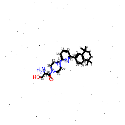 CC1(C)CCC(C)(C)c2cc(-c3cccc(N4CCN(C(=O)C(N)CO)CC4)n3)ccc21